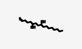 CCCCCCCCC(O)CCC(O)CCCC=S